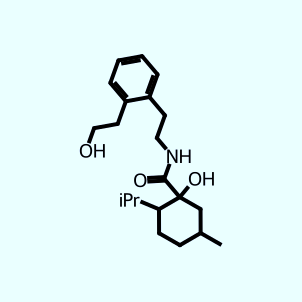 CC1CCC(C(C)C)C(O)(C(=O)NCCc2ccccc2CCO)C1